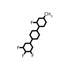 CC1CCC(C2CCC(C3CC(F)C(F)C(F)C3)CC2)C(F)C1